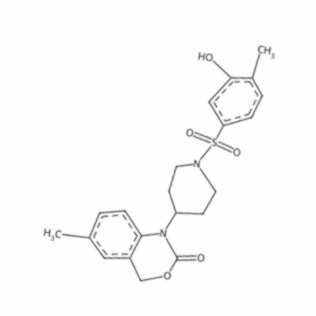 Cc1ccc2c(c1)COC(=O)N2C1CCN(S(=O)(=O)c2ccc(C)c(O)c2)CC1